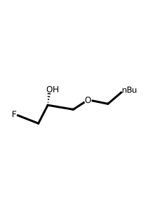 CCCCCOC[C@@H](O)CF